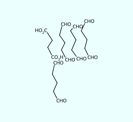 O=C(O)CCC(=O)O.O=CCCCC=O.O=CCCCC=O.O=CCCCC=O.O=CCCCC=O